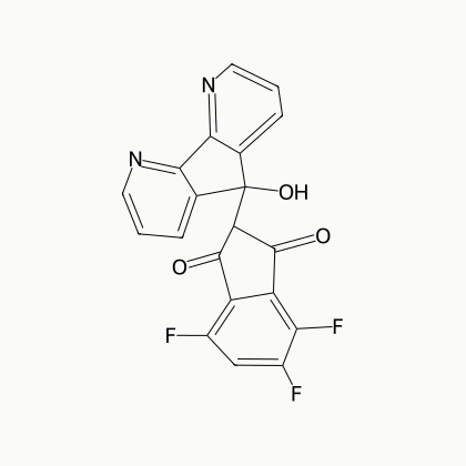 O=C1c2c(F)cc(F)c(F)c2C(=O)C1C1(O)c2cccnc2-c2ncccc21